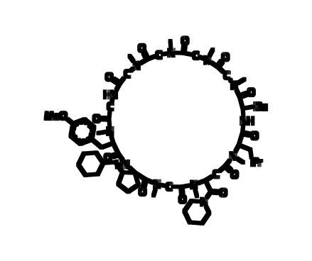 CCC(C)C1NC(=O)C(CC(C)C)N(C)C(=O)CC(C(=O)N2CCCCC2)N(C)C(=O)CN(C)C(=O)C2(CCCC2CC2CCCCC2)NC(=O)C(Cc2ccc(OC)cc2)N(C)C(=O)CNC(=O)CN(C)C(=O)CN(C)C(=O)CN(C)C(=O)CN(C)C1=O